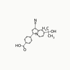 CC(C)(O)c1ccn2c(-c3ccc(C(=O)O)cc3)cc(C#N)c2c1